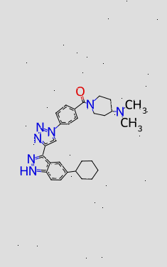 CN(C)C1CCN(C(=O)c2ccc(-n3cc(-c4n[nH]c5ccc(C6CCCCC6)cc45)nn3)cc2)CC1